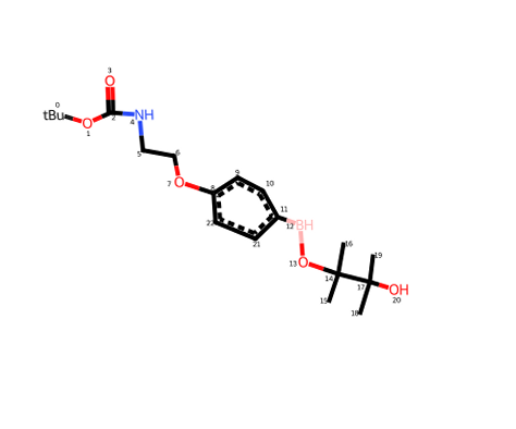 CC(C)(C)OC(=O)NCCOc1ccc(BOC(C)(C)C(C)(C)O)cc1